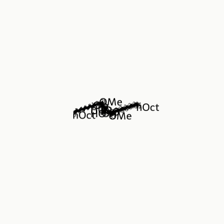 CCCCCCCC/C=C\CCCCCCCCOCC(COS(OCC(COCCCCCCCC/C=C\CCCCCCCC)OC)=P(O)(O)O)OC